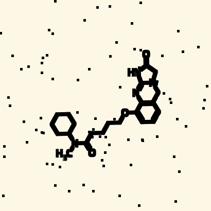 CN(C(=O)CCCCOc1cccc2c1N=C1NC(=O)CN1C2)C1CCCCC1